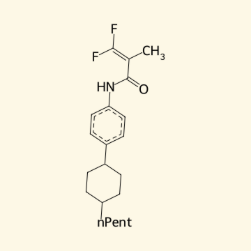 CCCCCC1CCC(c2ccc(NC(=O)C(C)=C(F)F)cc2)CC1